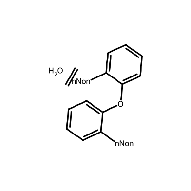 C=C.CCCCCCCCCc1ccccc1Oc1ccccc1CCCCCCCCC.O